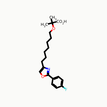 CC(C)(OCCCCCCCc1coc(-c2ccc(F)cc2)n1)C(=O)O